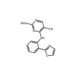 CSc1ncc(C#N)c(Nc2ccccc2-c2ncco2)n1